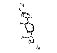 O=C1O[C@@H](CO)CN1c1ccc(-c2nc(CO)co2)c(F)c1